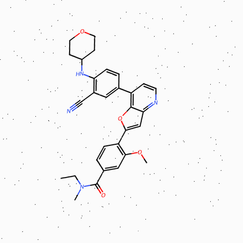 CCN(C)C(=O)c1ccc(-c2cc3nccc(-c4ccc(NC5CCOCC5)c(C#N)c4)c3o2)c(OC)c1